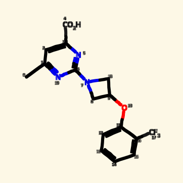 Cc1cc(C(=O)O)nc(N2CC(Oc3ccccc3C(F)(F)F)C2)n1